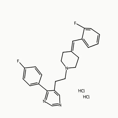 Cl.Cl.Fc1ccc(-c2ncncc2CCN2CCC(=Cc3ccccc3F)CC2)cc1